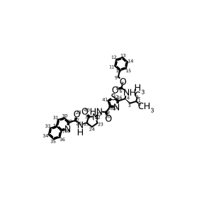 CC(C)C[C@H](NC(=O)OCc1ccccc1)c1nc(C(=O)NN2CC[C@@H](NC(=O)c3ccc4ccccc4n3)C2=O)cs1